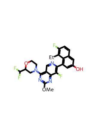 CCc1c(F)ccc2cc(O)cc(-c3ncc4c(N5CCOC(C(F)F)C5)nc(OC)nc4c3F)c12